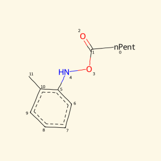 CCCCCC(=O)ONc1ccccc1C